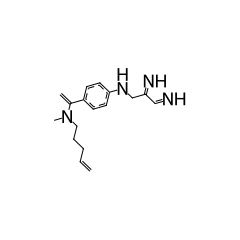 C=CCCCN(C)C(=C)c1ccc(NCC(=N)C=N)cc1